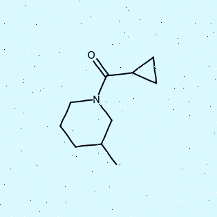 [CH2]C1CCCN(C(=O)C2CC2)C1